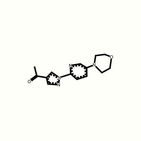 CC(=O)c1cnn(-c2ccc(N3CCOCC3)cn2)c1